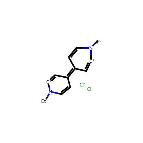 CCN1[C+]=CC(=C2C=[C+]N(C(C)C)C=C2)C=C1.[Cl-].[Cl-]